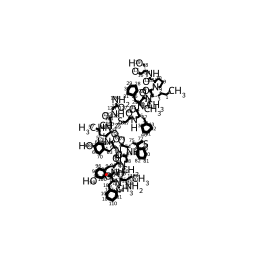 CCCC[C@@H](C(=O)N1CCC[C@@H]1C(=O)N[C@H](C=O)CO)N(C)C(=O)C(Cc1ccccc1)N(C)C(=O)[C@H](Cc1ccccc1)NC(=O)CSC[C@H](NC(=O)[C@H](CC(C)C)NC(=O)[C@H](Cc1ccc(O)cc1)NC(=O)[C@H](Cc1csc2ccccc12)NC(=O)CN(C)C(=O)[C@H](Cc1ccc(O)cc1)NC(=O)C(Cc1ccccc1)N(C)C(=O)[C@@H](N)CC)C(=O)NCC(N)=O